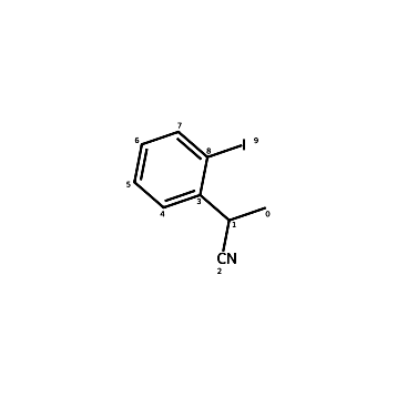 CC(C#N)c1ccccc1I